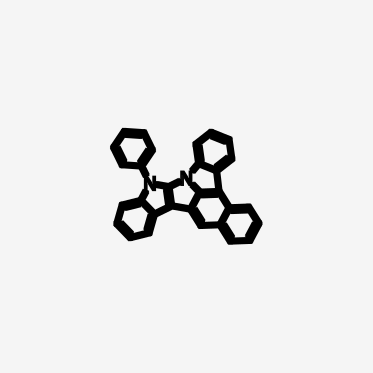 c1ccc(-n2c3ccccc3c3c4cc5ccccc5c5c6ccccc6n(c45)c32)cc1